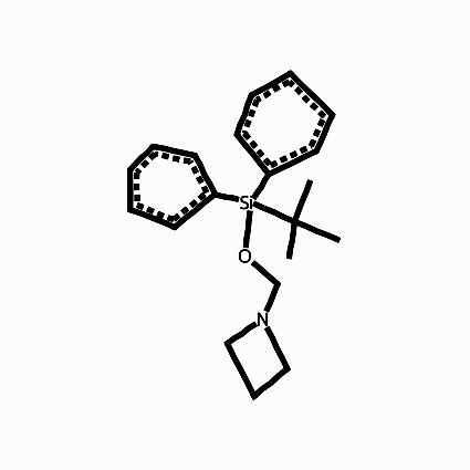 CC(C)(C)[Si](OCN1CCC1)(c1ccccc1)c1ccccc1